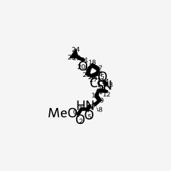 COC(=O)CC(=O)N[C@@H](C)/C=C/c1cnc(Oc2ccc(OCC3CC3)cc2Cl)s1